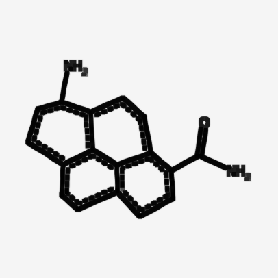 NC(=O)c1ccc2ccc3ccc(N)c4ccc1c2c34